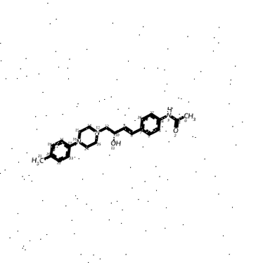 CC(=O)Nc1ccc(/C=C/[C@H](O)CN2CCN(c3ccc(C)cc3)CC2)cc1